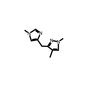 Cc1cn(C)nc1Cc1cn(C)cn1